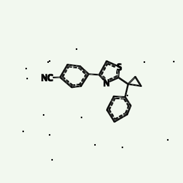 N#Cc1ccc(-c2csc(C3(c4ccccc4)CC3)n2)cc1